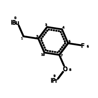 CCC(C)Cc1ccc(F)c(OC(C)C)c1